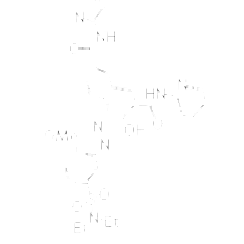 CCN(CC)S(=O)(=O)c1ccc(OC)c(N=Nc2c(O)c(C(=O)Nc3ccccn3)cc3cc(C(=O)Nc4ccccn4)ccc23)c1